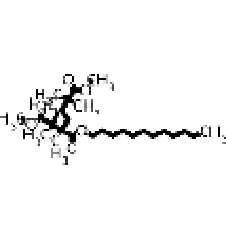 CCCCCCCCCCCCOC(=O)C(C)(CCC(C)(C)C(=O)OC)C(C)(CC)C(=O)OC